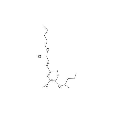 CCCCCOC(=O)/C=C/c1ccc(OC(C)CCC)c(OC)c1